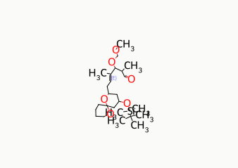 COCOC(/C(C)=C/CC1CC(O[Si](C)(C)C(C)(C)C)CC2(CCCCO2)O1)C(C)C=O